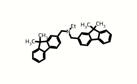 CCN(Cc1ccc2c(c1)C(C)(C)c1ccccc1-2)Cc1ccc2c(c1)C(C)(C)c1ccccc1-2